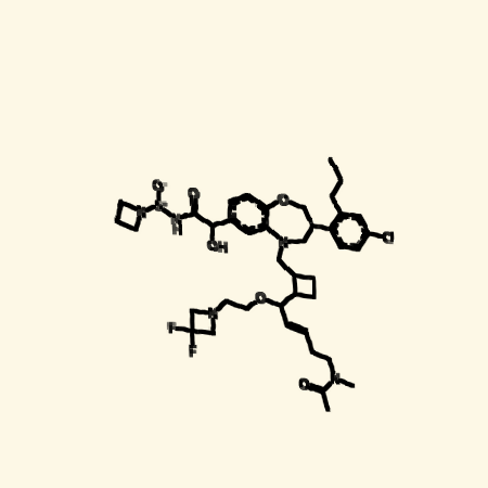 CCCc1cc(Cl)ccc1C1COc2ccc(C(O)C(=O)N[S+]([O-])N3CCC3)cc2N(CC2CCC2C(/C=C/CCN(C)C(C)=O)OCCN2CC(F)(F)C2)C1